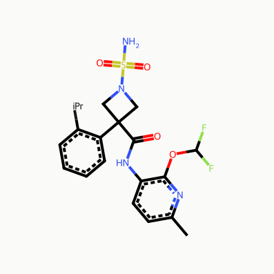 Cc1ccc(NC(=O)C2(c3ccccc3C(C)C)CN(S(N)(=O)=O)C2)c(OC(F)F)n1